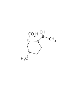 CB(O)N1CCN(C)C[C@@H]1C(=O)O